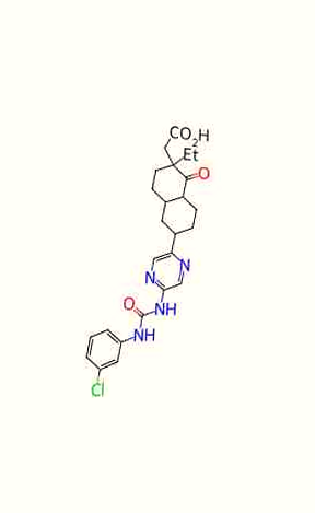 CCC1(CC(=O)O)CCC2CC(c3cnc(NC(=O)Nc4cccc(Cl)c4)cn3)CCC2C1=O